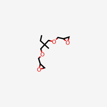 CCC(C)(COCC1CO1)COCC1CO1